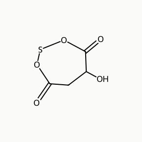 O=C1CC(O)C(=O)OSO1